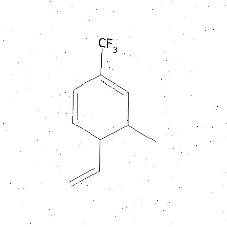 C=CC1C=CC(C(F)(F)F)=CC1C